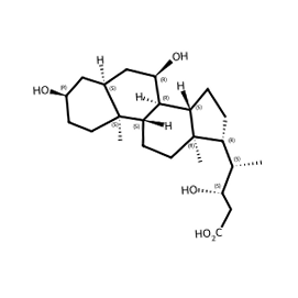 C[C@@H]([C@H]1CC[C@H]2[C@@H]3[C@H](O)C[C@@H]4C[C@H](O)CC[C@]4(C)[C@H]3CC[C@]12C)[C@@H](O)CC(=O)O